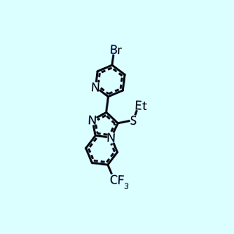 CCSc1c(-c2ccc(Br)cn2)nc2ccc(C(F)(F)F)cn12